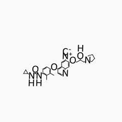 [C-]#[N+]c1cc2c(Oc3ccc(NC(=O)NC4CC4)c(C)c3C)ccnc2cc1OC[C@H](O)CN1CCCC1